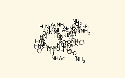 CC(=O)NCCCC[C@@H]1NC(=O)[C@H](Cc2c[nH]c3c(C)cccc23)NC(=O)[C@H]([C@@H](C)O)NC(=O)[C@H](CC(N)=O)NC(=O)[C@@H](NC(C)=O)C(C)(C)SSC(C)(C)[C@@H](C(=O)N[C@@H](Cc2ccc(OCCN)cc2)C(=O)N[C@@H](Cc2ccc3ccccc3c2)C(=O)NC(C)(CCCCN)C(=O)N[C@@H](CCCCNC(C)=O)C(=O)N[C@@H](CC(N)=O)C(=O)N[C@H](CC(C)C)C(N)=O)NC1=O